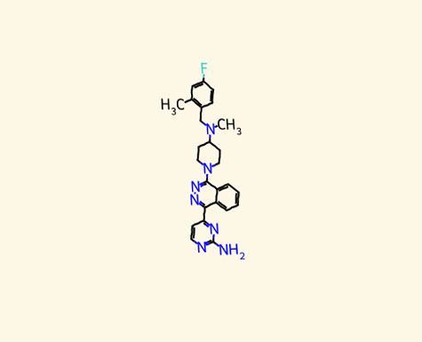 Cc1cc(F)ccc1CN(C)C1CCN(c2nnc(-c3ccnc(N)n3)c3ccccc23)CC1